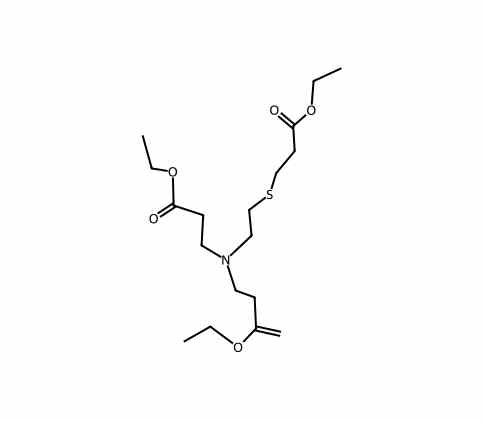 C=C(CCN(CCSCCC(=O)OCC)CCC(=O)OCC)OCC